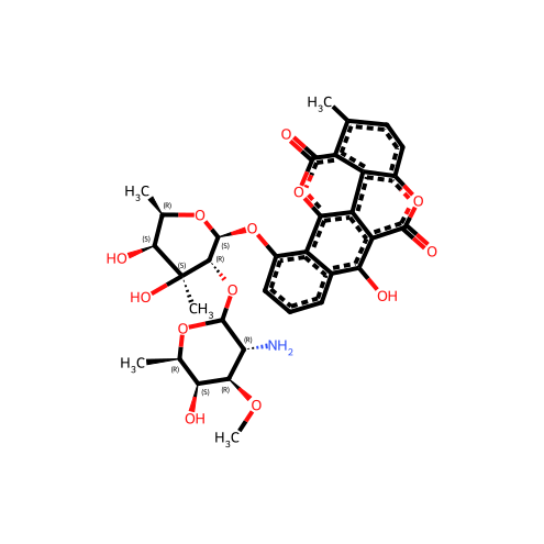 CO[C@H]1[C@@H](O)[C@@H](C)OC(O[C@H]2[C@H](Oc3cccc4c(O)c5c(=O)oc6ccc(C)c7c(=O)oc(c34)c5c67)O[C@H](C)[C@H](O)[C@]2(C)O)[C@@H]1N